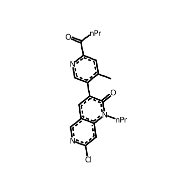 CCCC(=O)c1cc(C)c(-c2cc3cnc(Cl)cc3n(CCC)c2=O)cn1